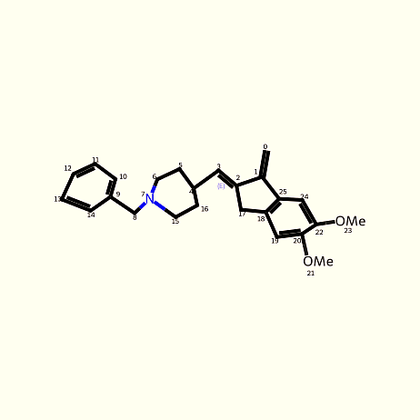 C=C1/C(=C/C2CCN(Cc3ccccc3)CC2)Cc2cc(OC)c(OC)cc21